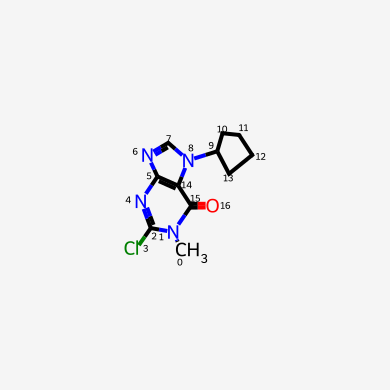 Cn1c(Cl)nc2ncn(C3CCCC3)c2c1=O